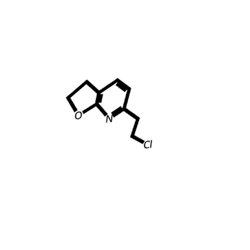 ClCCc1ccc2c(n1)OCC2